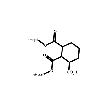 CCCCCCCOC(=O)C1CCCC(C(=O)O)C1C(=O)OCCCCCCC